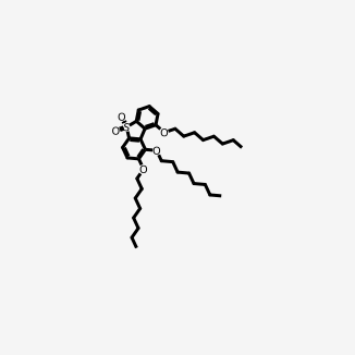 CCCCCCCCOc1ccc2c(c1OCCCCCCCC)-c1c(OCCCCCCCC)cccc1S2(=O)=O